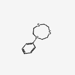 c1ccc(P2CCSCCSCC2)cc1